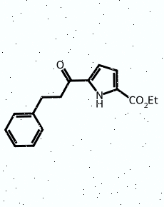 CCOC(=O)c1ccc(C(=O)CCc2ccccc2)[nH]1